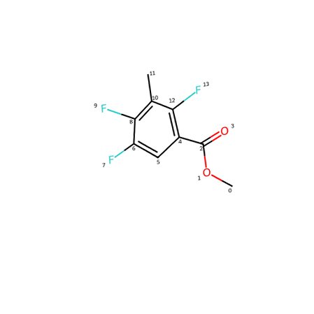 COC(=O)c1cc(F)c(F)c(C)c1F